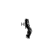 Cn1cc(-n2ccc(=O)c(Cc3cccc(-c4ncc(NC(=O)CC5CCCO5)cn4)c3)n2)cn1